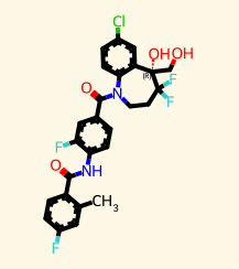 Cc1cc(F)ccc1C(=O)Nc1ccc(C(=O)N2CCC(F)(F)[C@](O)(CO)c3cc(Cl)ccc32)cc1F